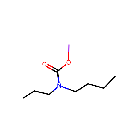 CCCCN(CCC)C(=O)OI